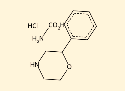 Cl.NC(=O)O.c1ccc(C2CNCCO2)cc1